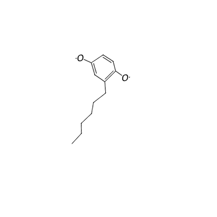 CCCCCCc1cc([O])ccc1[O]